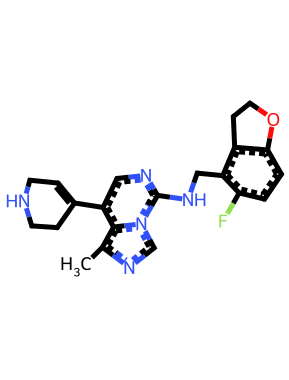 Cc1ncn2c(NCc3c(F)ccc4c3CCO4)ncc(C3=CCNCC3)c12